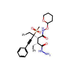 CC(C)C[C@@H](C(=O)NN)[C@@H](C(=O)NOC1CCCCO1)C(C#Cc1ccccc1)(CC(C)C)S(C)(=O)=O